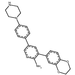 Nc1ncc(-c2ccc(N3CCNCC3)cc2)cc1-c1ccc2c(c1)OCCO2